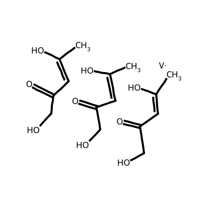 C/C(O)=C/C(=O)CO.C/C(O)=C/C(=O)CO.C/C(O)=C/C(=O)CO.[V]